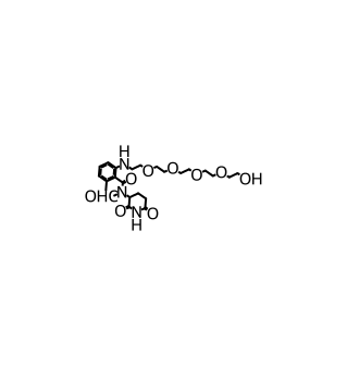 Cc1cccc(NCCOCCOCCOCCOCCO)c1C(=O)N(C=O)C1CCC(=O)NC1=O